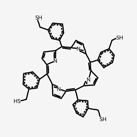 SCc1cccc(C2=C3C=CC(=N3)C(c3cccc(CS)c3)=C3C=CC(=N3)C(c3cccc(CS)c3)=C3C=CC(=N3)C(c3cccc(CS)c3)=C3C=CC2=N3)c1